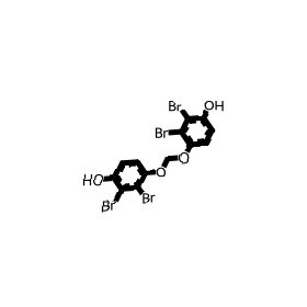 Oc1ccc(OCOc2ccc(O)c(Br)c2Br)c(Br)c1Br